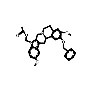 COc1ccc2c(c1)c1c(n2COC(C)=O)CN2CCc3cc(OC)c(OCc4ccccc4)cc3C2C1